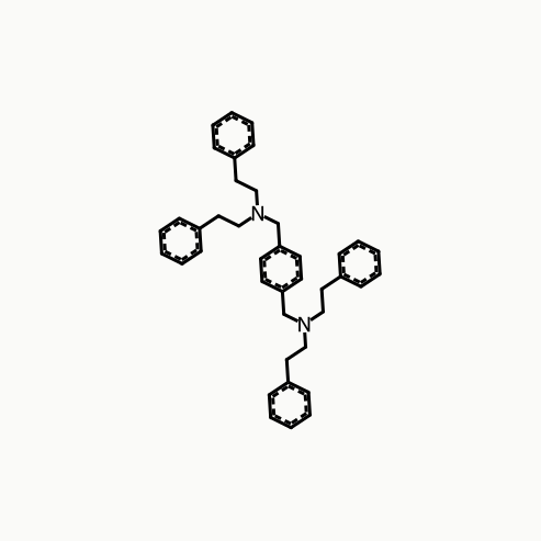 c1ccc(CCN(CCc2ccccc2)Cc2ccc(CN(CCc3ccccc3)CCc3ccccc3)cc2)cc1